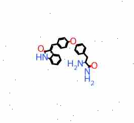 NC(=O)[C@@H](N)Cc1ccc(Oc2ccc(/C=C3/C(=O)Nc4ccccc43)cc2)cc1